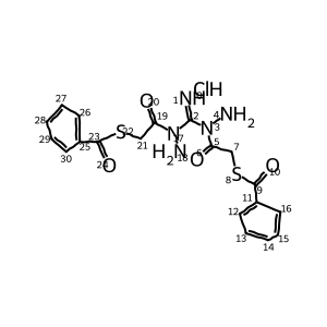 Cl.N=C(N(N)C(=O)CSC(=O)c1ccccc1)N(N)C(=O)CSC(=O)c1ccccc1